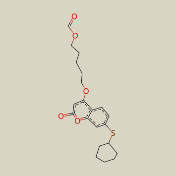 O=COCCCCCOc1cc(=O)oc2cc(SC3CCCCC3)ccc12